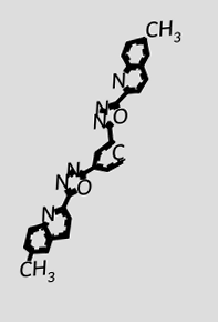 Cc1ccc2nc(-c3nnc(-c4cccc(-c5nnc(-c6ccc7cc(C)ccc7n6)o5)c4)o3)ccc2c1